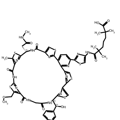 CNC(=O)C[C@@H]1NC(=O)c2csc(n2)-c2ccc(-c3nc(NC(=O)C(C)(C)CCCC(C)(C)C(=O)O)cs3)nc2-c2csc(n2)-c2csc(n2)[C@H]([C@@H](O)c2ccccc2)NC(=O)CNC(=O)c2nc(sc2COC)NC(=O)c2nc1sc2C